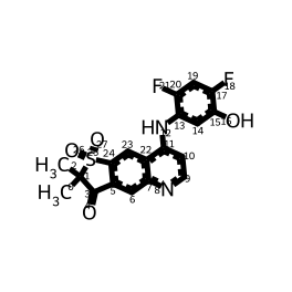 CC1(C)C(=O)c2cc3nccc(Nc4cc(O)c(F)cc4F)c3cc2S1(=O)=O